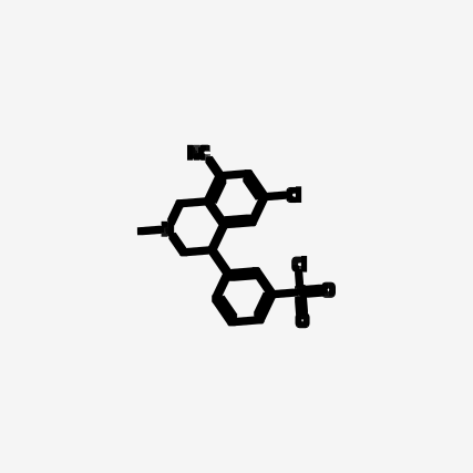 CN1Cc2c(C#N)cc(Cl)cc2C(c2cccc(S(=O)(=O)Cl)c2)C1